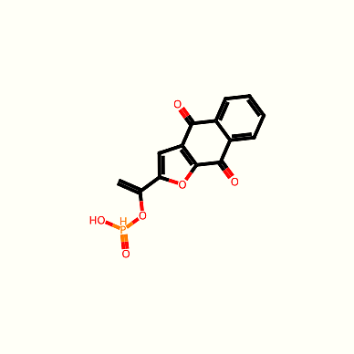 C=C(O[PH](=O)O)c1cc2c(o1)C(=O)c1ccccc1C2=O